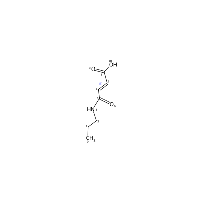 CCCNC(=O)/C=C/C(=O)O